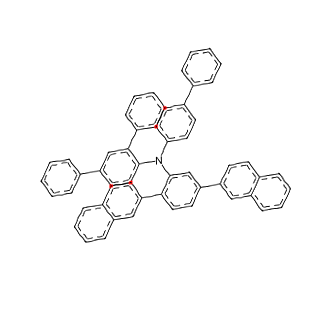 c1ccc(-c2ccc(N(c3ccc(-c4ccccc4)cc3-c3ccccc3)c3cc(-c4ccc5ccccc5c4)ccc3-c3ccc4ccccc4c3)cc2)cc1